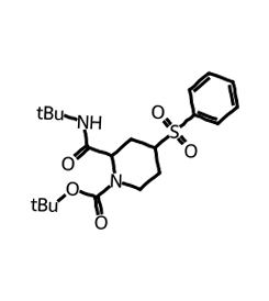 CC(C)(C)NC(=O)C1CC(S(=O)(=O)c2ccccc2)CCN1C(=O)OC(C)(C)C